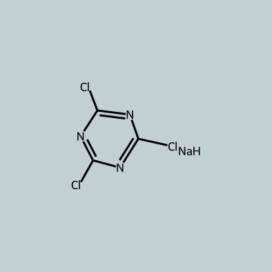 Clc1nc(Cl)nc(Cl)n1.[NaH]